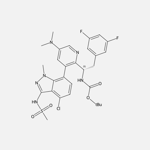 CN(C)c1cnc([C@H](Cc2cc(F)cc(F)c2)NC(=O)OC(C)(C)C)c(-c2ccc(Cl)c3c(NS(C)(=O)=O)nn(C)c23)c1